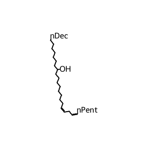 CCCCC/C=C\C/C=C\CCCCCCCCC(O)CCCCCCCCCCCCCCCCC